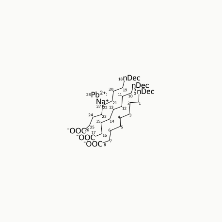 CCCCCCCCCCCCCCCCCC(=O)[O-].CCCCCCCCCCCCCCCCCC(=O)[O-].CCCCCCCCCCCCCCCCCC(=O)[O-].[Na+].[Pb+2]